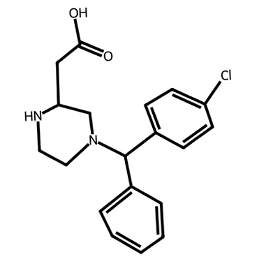 O=C(O)CC1CN(C(c2ccccc2)c2ccc(Cl)cc2)CCN1